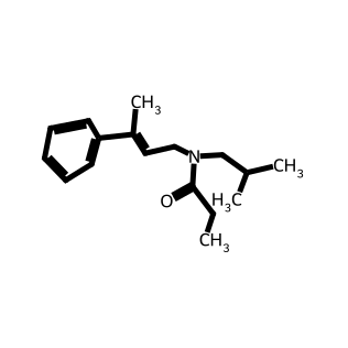 CCC(=O)N(C/C=C(\C)c1ccccc1)CC(C)C